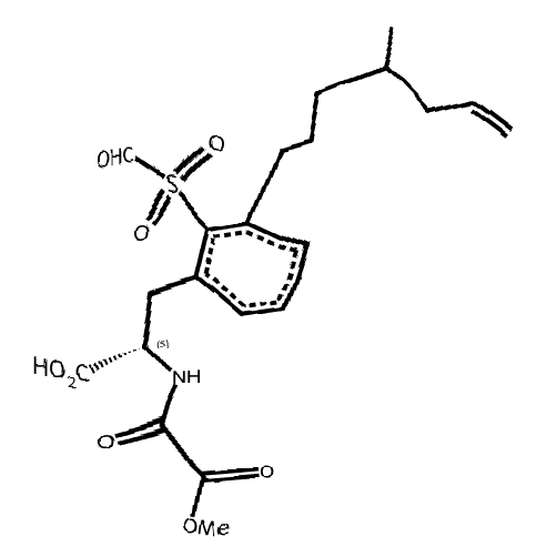 C=CCC(C)CCCc1cccc(C[C@H](NC(=O)C(=O)OC)C(=O)O)c1S(=O)(=O)C=O